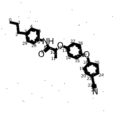 CCCc1ccc(NC(=O)C(C)Oc2ccc(Oc3ccc(C#N)cc3)cc2)cc1